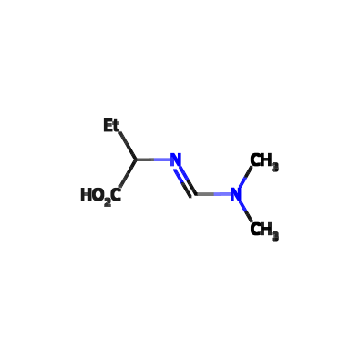 CCC(/N=C/N(C)C)C(=O)O